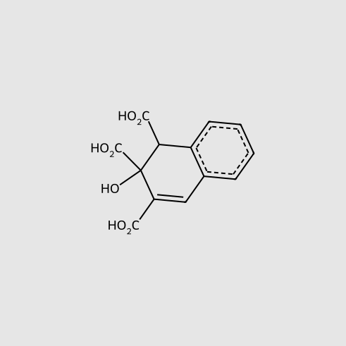 O=C(O)C1=Cc2ccccc2C(C(=O)O)C1(O)C(=O)O